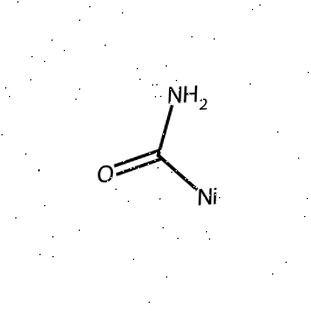 N[C](=O)[Ni]